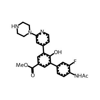 COC(=O)c1cc(-c2ccnc(N3CCNCC3)c2)c(O)c(-c2ccc(NC(C)=O)c(F)c2)c1